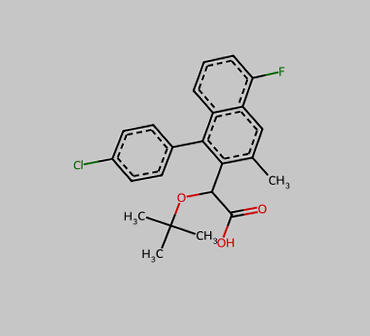 Cc1cc2c(F)cccc2c(-c2ccc(Cl)cc2)c1C(OC(C)(C)C)C(=O)O